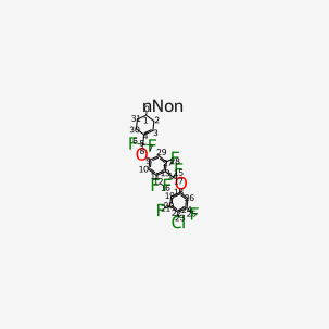 CCCCCCCCCC1CC=C(C(F)(F)Oc2cc(F)c(C(F)(F)Oc3cc(F)c(Cl)c(F)c3)c(F)c2)CC1